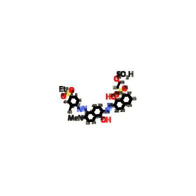 CCS(=O)(=O)c1ccc(/N=N/c2c(NC)ccc3c(O)c(/N=N/c4ccc5cccc(S(=O)(=O)CCOS(=O)(=O)O)c5c4O)ccc23)c(C)c1